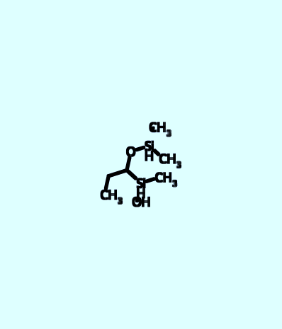 CCC(O[SiH](C)C)[SiH](C)O